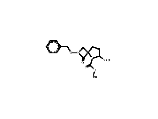 CC(C)(C)OC(=O)N1C(C(=O)O)CCC12CN(OCc1ccccc1)C2=O